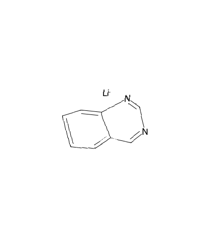 [Li].c1ccc2ncncc2c1